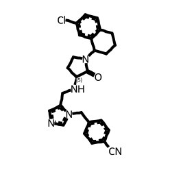 N#Cc1ccc(Cn2cncc2CN[C@H]2CCN(C3CCCc4ccc(Cl)cc43)C2=O)cc1